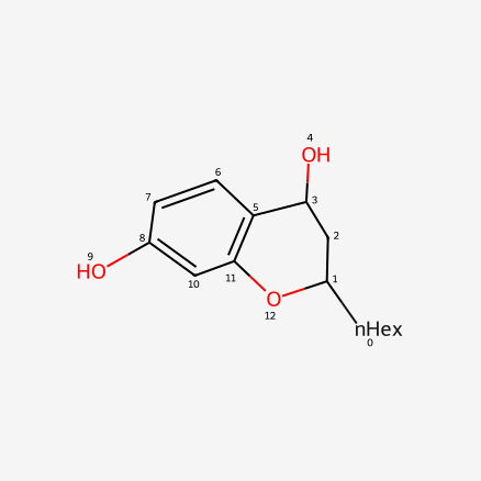 CCCCCCC1CC(O)c2ccc(O)cc2O1